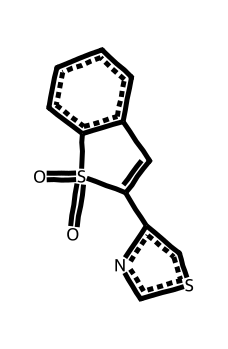 O=S1(=O)C(c2cscn2)=Cc2ccccc21